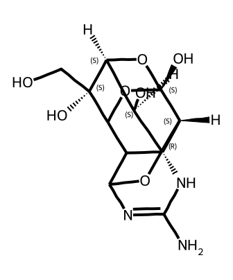 NC1=NC2O[C@@H]3[C@]4(O)OC5C2[C@@]3(N1)[C@H](O)[C@H](O4)[C@]5(O)CO